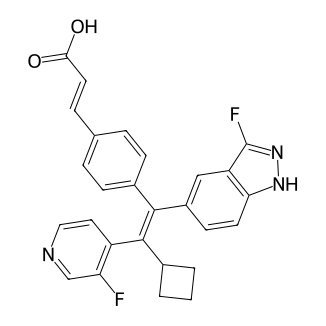 O=C(O)/C=C/c1ccc(/C(=C(\c2ccncc2F)C2CCC2)c2ccc3[nH]nc(F)c3c2)cc1